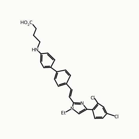 CCn1cc(-c2ccc(Cl)cc2Cl)nc1C=Cc1ccc(-c2ccc(NCCCC(=O)O)cc2)cc1